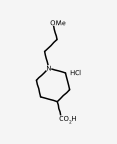 COCCN1CCC(C(=O)O)CC1.Cl